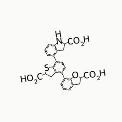 O=C(O)C1Cc2c(cccc2-c2ccc(-c3cccc4c3OC(C(=O)O)C4)c3c2SC(C(=O)O)C3)N1